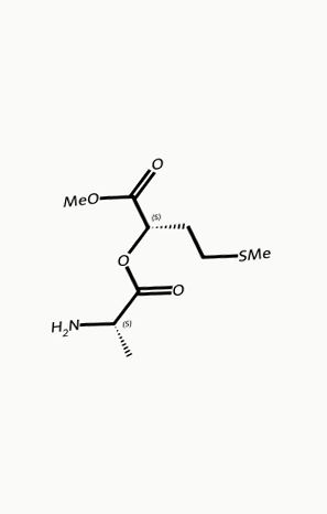 COC(=O)[C@H](CCSC)OC(=O)[C@H](C)N